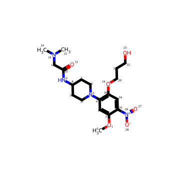 COc1cc(N2CCC(NC(=O)CN(C)C)CC2)c(OCCCO)cc1[N+](=O)[O-]